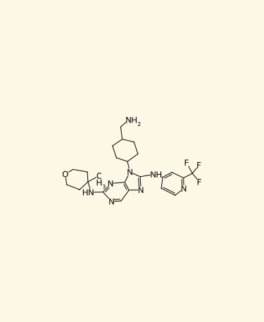 CC1(Nc2ncc3nc(Nc4ccnc(C(F)(F)F)c4)n(C4CCC(CN)CC4)c3n2)CCOCC1